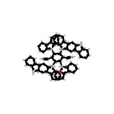 N#Cc1c(-n2c3ccccc3c3ccccc32)c(-n2c3ccccc3c3cc4oc5ccccc5c4cc32)c(C#N)c(-n2c3ccccc3c3ccccc32)c1-n1c2ccccc2c2cc3oc4ccccc4c3cc21